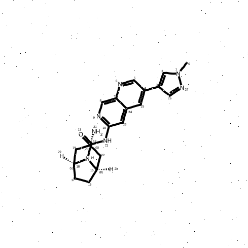 Cn1cc(-c2cnc3cnc(NC(=O)N4[C@@H]5CC[C@H]4C[C@H](N)C5)cc3c2)cn1